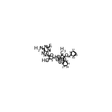 C[C@H](NP(=O)(OC[C@@H]1C[C@H](O)[C@H](n2cnc3c(N)nc(F)nc32)O1)Oc1ccccc1)C(=O)OCc1ccccc1